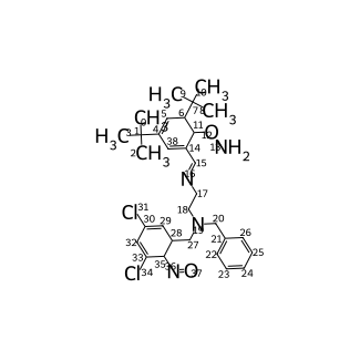 CC(C)(C)C1=CC(C(C)(C)C)C(ON)C(/C=N/CCN(Cc2ccccc2)CC2C=C(Cl)C=C(Cl)C2N=O)=C1